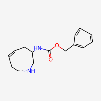 O=C(NC1CC=CCCNC1)OCc1ccccc1